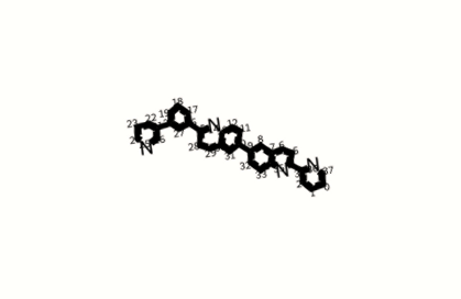 c1ccc(-c2ccc3cc(-c4ccc5nc(-c6cccc(-c7cccnc7)c6)ccc5c4)ccc3n2)nc1